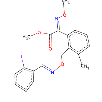 CO/N=C(/C(=O)OC)c1cccc(C)c1CO/N=C/c1ccccc1I